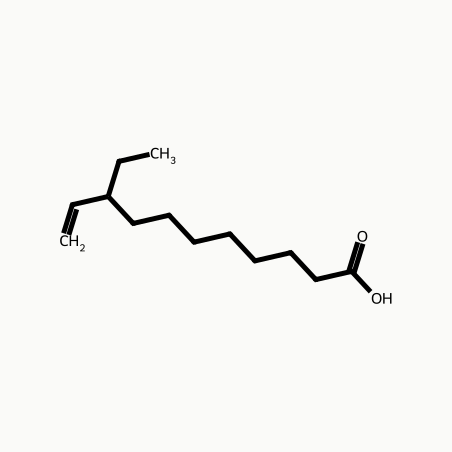 C=CC(CC)CCCCCCCC(=O)O